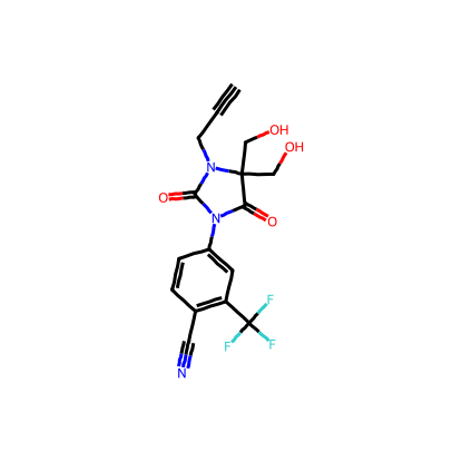 C#CCN1C(=O)N(c2ccc(C#N)c(C(F)(F)F)c2)C(=O)C1(CO)CO